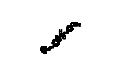 COc1ccc(CCC(=O)Nc2nc3c(s2)CCN(CC=Cc2ccccn2)CC3)cc1